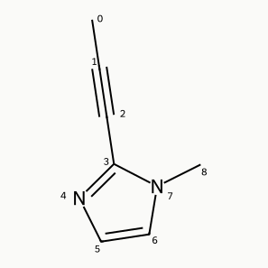 CC#Cc1nccn1C